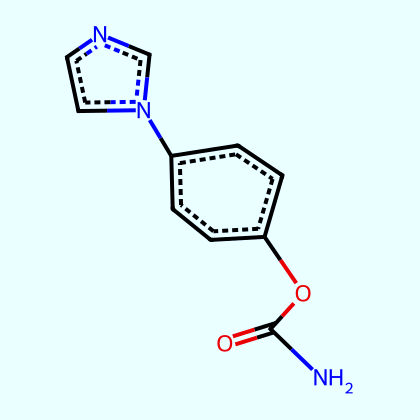 NC(=O)Oc1ccc(-n2ccnc2)cc1